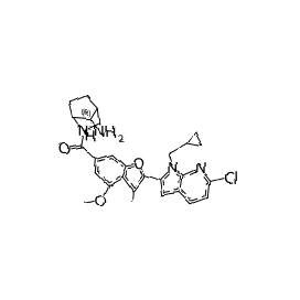 COc1cc(C(=O)N2CC3CCC2[C@@H]3N)cc2oc(-c3cc4ccc(Cl)nc4n3CC3CC3)c(C)c12